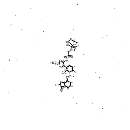 Cc1nc2c(OCc3c(Cl)ccc(N(C)C(=O)CNC(=O)CNC45CC6CC(CC(C6)C4)C5)c3Cl)cccn2c1Br.Cl.Cl